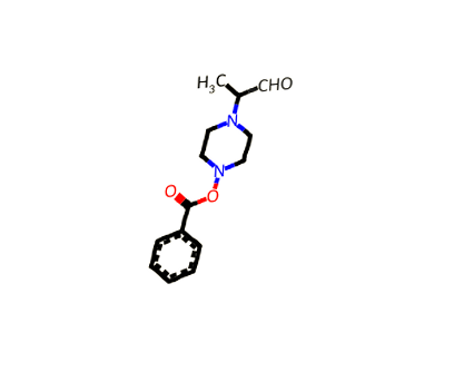 CC(C=O)N1CCN(OC(=O)c2ccccc2)CC1